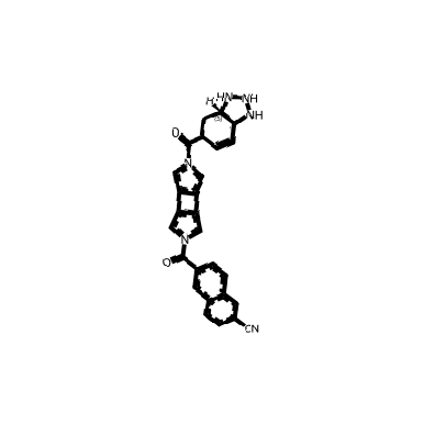 N#Cc1ccc2cc(C(=O)n3cc4c(c3)-c3cn(C(=O)C5C=CC6NNN[C@H]6C5)cc3-4)ccc2c1